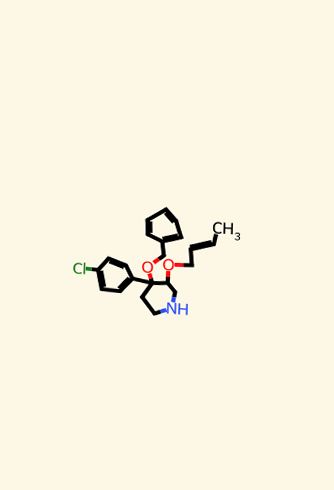 CC=CCOC1CNCCC1(OCc1ccccc1)c1ccc(Cl)cc1